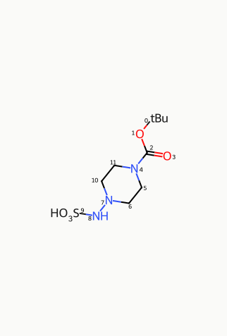 CC(C)(C)OC(=O)N1CCN(NS(=O)(=O)O)CC1